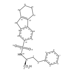 O=C(O)[C@H](CCc1ccccc1)NS(=O)(=O)c1ccc2c(c1)CC1=C2CCCC1